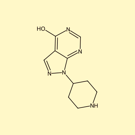 Oc1ncnc2c1cnn2C1CCNCC1